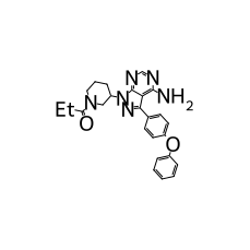 CCC(=O)N1CCCC(n2nc(-c3ccc(Oc4ccccc4)cc3)c3c(N)ncnc32)C1